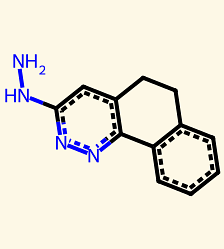 NNc1cc2c(nn1)-c1ccccc1CC2